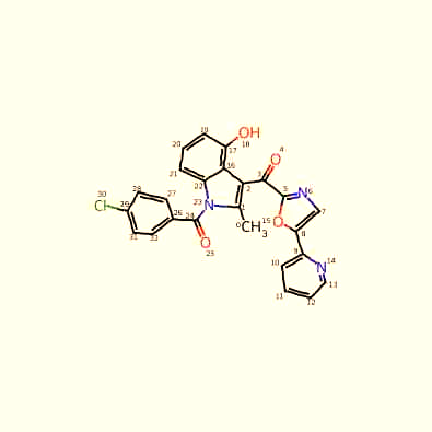 Cc1c(C(=O)c2ncc(-c3ccccn3)o2)c2c(O)cccc2n1C(=O)c1ccc(Cl)cc1